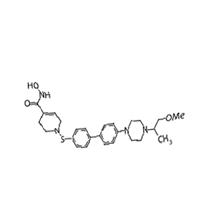 COCC(C)N1CCN(c2ccc(-c3ccc(SN4CC=C(C(=O)NO)CC4)cc3)cc2)CC1